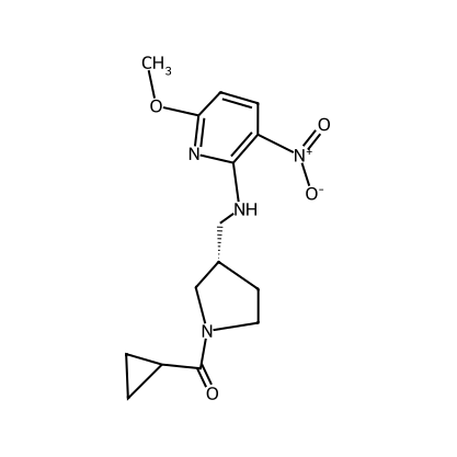 COc1ccc([N+](=O)[O-])c(NC[C@@H]2CCN(C(=O)C3CC3)C2)n1